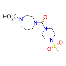 CS(=O)(=O)N1CCN(C(=O)N2CCCN(C(=O)O)CC2)CC1